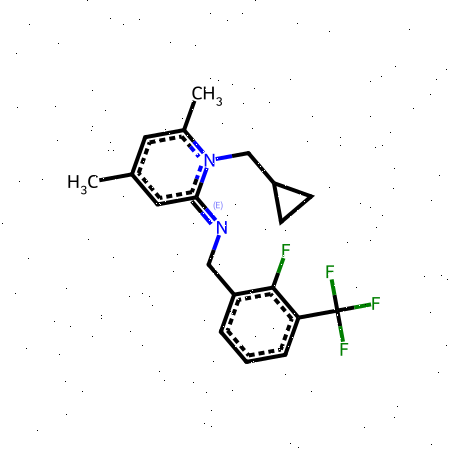 Cc1cc(C)n(CC2CC2)/c(=N/Cc2cccc(C(F)(F)F)c2F)c1